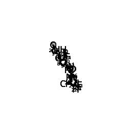 O=C1CC[C@H](COc2ccc(-c3noc(-c4cn5cc(C(F)(F)F)cc(Cl)c5n4)n3)cc2C(F)(F)F)N1